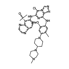 COc1cc(N2CCC(N3CCN(C)CC3)CC2)c(C)cc1Nc1nc(Nc2ccc3nccnc3c2P(C)(C)=O)c(Cl)n2cnnc12